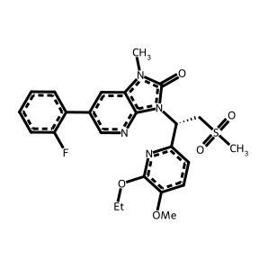 CCOc1nc([C@@H](CS(C)(=O)=O)n2c(=O)n(C)c3cc(-c4ccccc4F)cnc32)ccc1OC